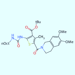 CCCCCCCCNC(=O)Nc1sc(C(=O)N2CCc3cc(OC)c(OC)cc3C2)c(C)c1C(=O)OC(C)(C)C